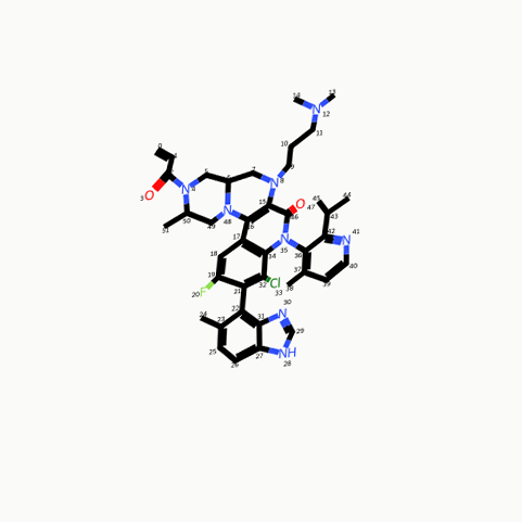 C=CC(=O)N1CC2CN(CCCN(C)C)c3c(c4cc(F)c(-c5c(C)ccc6[nH]cnc56)c(Cl)c4n(-c4c(C)ccnc4C(C)C)c3=O)N2CC1C